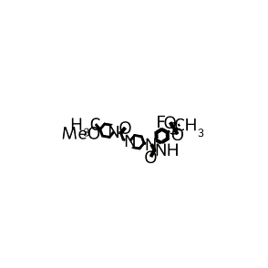 COC1(C)CCN(C(=O)CN2CCC(n3c(=O)[nH]c4cc(S(C)(=O)=O)c(F)cc43)CC2)CC1